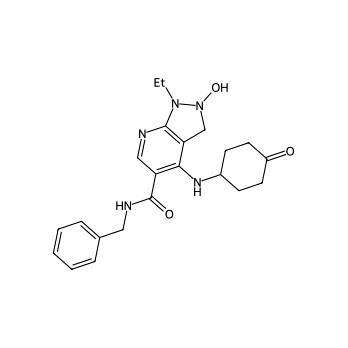 CCN1c2ncc(C(=O)NCc3ccccc3)c(NC3CCC(=O)CC3)c2CN1O